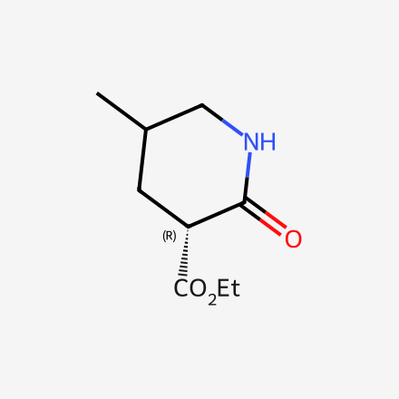 CCOC(=O)[C@@H]1CC(C)CNC1=O